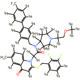 [2H]c1c([2H])c(F)c(F)c(CSc2c([2H])c(=O)c3c([2H])c(C)c([2H])c([2H])c3n2C([2H])([2H])C(=O)N(Cc2c([2H])c([2H])c(-c3c([2H])c([2H])c(C(F)(F)F)c([2H])c3[2H])c([2H])c2[2H])C2([2H])C([2H])([2H])C([2H])([2H])N(C([2H])([2H])COC([2H])([2H])[2H])C([2H])([2H])C2([2H])[2H])c1[2H]